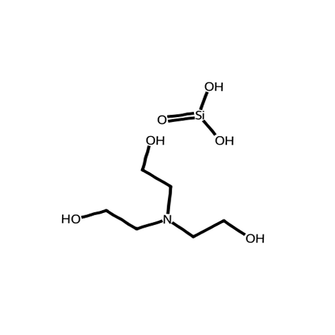 O=[Si](O)O.OCCN(CCO)CCO